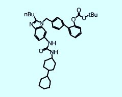 CCCCc1nc2ccc(NC(=O)NC3CCC(C4CCCCC4)CC3)cc2n1Cc1ccc(-c2ccccc2OC(=O)OC(C)(C)C)cc1